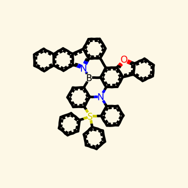 c1ccc(S2(c3ccccc3)c3ccccc3N3c4cc5c(oc6ccccc65)c5c4B(c4cccc2c43)n2c3cc4ccccc4cc3c3cccc-5c32)cc1